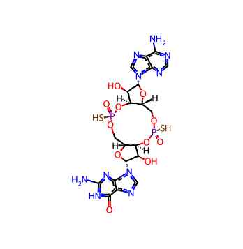 Nc1nc2c(ncn2[C@@H]2O[C@@H]3CO[P@@](=O)(S)O[C@H]4[C@@H](O)[C@H](n5cnc6c(N)ncnc65)O[C@@H]4CO[P@@](=O)(S)O[C@H]3[C@H]2O)c(=O)[nH]1